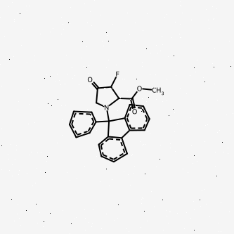 COC(=O)C1C(F)C(=O)CN1C1(c2ccccc2)c2ccccc2-c2ccccc21